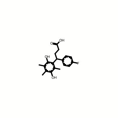 Cc1c(C)c(O)c(C(CCC(=O)O)c2ccc(F)cc2)c(C)c1O